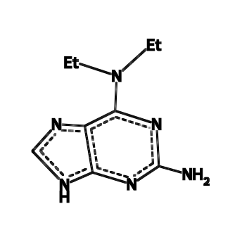 CCN(CC)c1nc(N)nc2[nH]cnc12